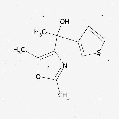 Cc1nc(C(C)(O)c2ccsc2)c(C)o1